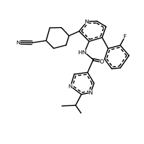 CC(C)c1ncc(C(=O)Nc2c(-c3ccccc3F)ccnc2C2CCC(C#N)CC2)cn1